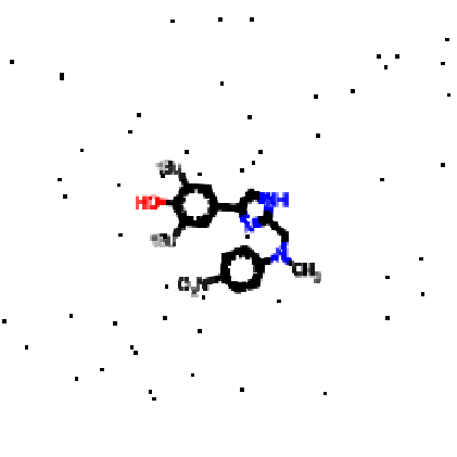 CN(Cc1nc(-c2cc(C(C)(C)C)c(O)c(C(C)(C)C)c2)c[nH]1)c1ccc([N+](=O)[O-])cc1